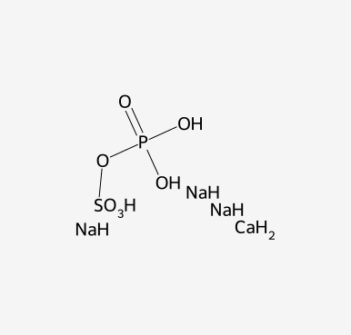 O=P(O)(O)OS(=O)(=O)O.[CaH2].[NaH].[NaH].[NaH]